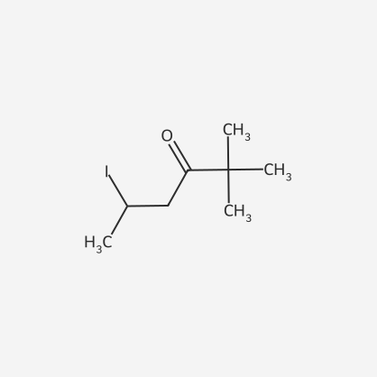 CC(I)CC(=O)C(C)(C)C